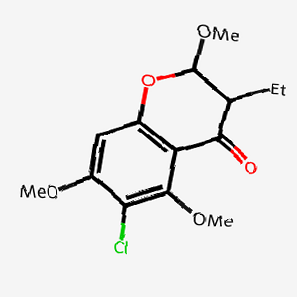 CCC1C(=O)c2c(cc(OC)c(Cl)c2OC)OC1OC